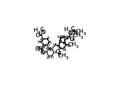 COC(=O)c1ccc(C2CCCCN2Cc2c(OC)cc(C)c3c2ccn3C(=O)OC(C)(C)C)c([N+](=O)[O-])c1